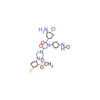 CS(=O)(=O)c1cc(F)ccc1N1CCN(C(=O)CN(C(=O)c2ccc(Cl)c(N)c2)c2ccc(NC=O)cc2)CC1